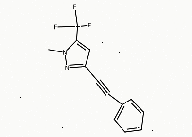 Cn1nc(C#Cc2ccccc2)cc1C(F)(F)F